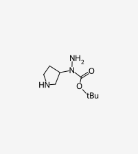 CC(C)(C)OC(=O)N(N)C1CCNC1